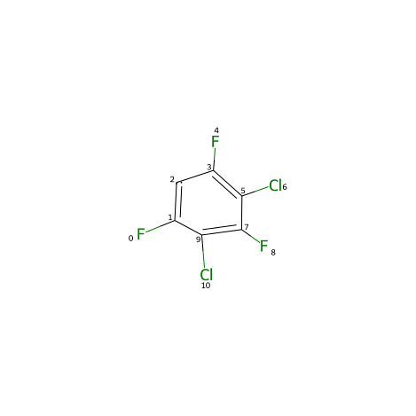 Fc1[c]c(F)c(Cl)c(F)c1Cl